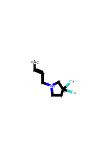 CC(=O)/C=C/CN1CCC(F)(F)C1